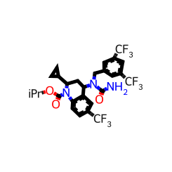 CC(C)OC(=O)N1c2ccc(C(F)(F)F)cc2C(N(Cc2cc(C(F)(F)F)cc(C(F)(F)F)c2)C(N)=O)CC1C1CC1